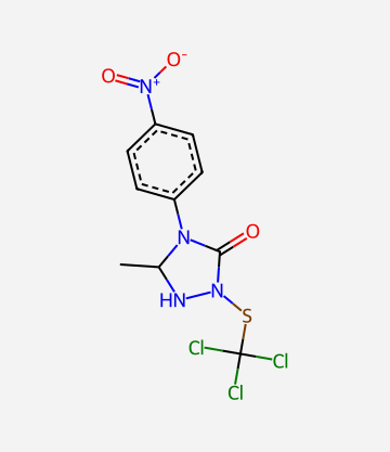 CC1NN(SC(Cl)(Cl)Cl)C(=O)N1c1ccc([N+](=O)[O-])cc1